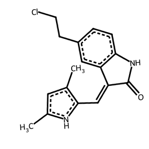 Cc1cc(C)c(C=C2C(=O)Nc3ccc(CCCl)cc32)[nH]1